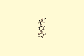 BrC1=NO[C@H](c2ccc(-c3ccccc3)cc2)C1